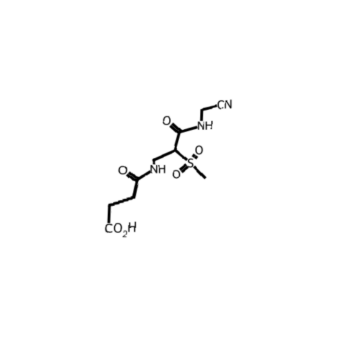 CS(=O)(=O)C(CNC(=O)CCC(=O)O)C(=O)NCC#N